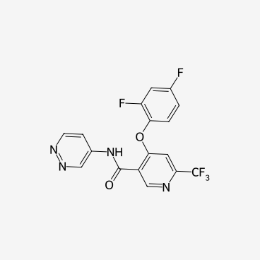 O=C(Nc1ccnnc1)c1cnc(C(F)(F)F)cc1Oc1ccc(F)cc1F